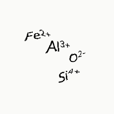 [Al+3].[Fe+2].[O-2].[Si+4]